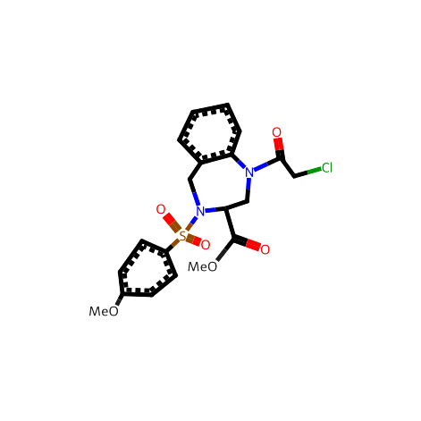 COC(=O)C1CN(C(=O)CCl)c2ccccc2CN1S(=O)(=O)c1ccc(OC)cc1